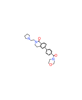 O=C(c1ccc(-c2ccc3c(c2)CCN(CCN2CCCC2)C3=O)cc1)N1CCOCC1